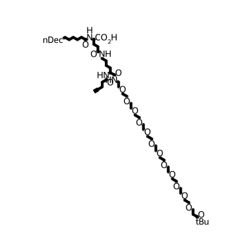 C#CCCC(=O)NC(CCCCNC(=O)CCC(NC(=O)CCCCCCCCCCCCCCC)C(=O)O)C(=O)NCCOCCOCCOCCOCCOCCOCCOCCOCCOCCOCCOCCOCCC(=O)C(C)(C)C